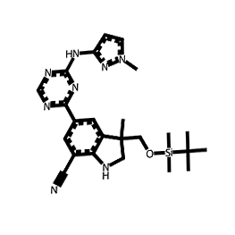 Cn1ccc(Nc2ncnc(-c3cc(C#N)c4c(c3)C(C)(CO[Si](C)(C)C(C)(C)C)CN4)n2)n1